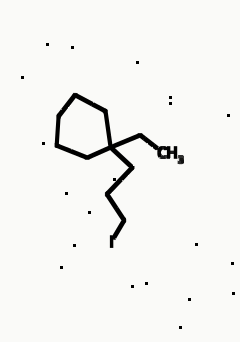 CCC1(CCCI)CCCCC1